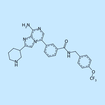 Nc1ncc(-c2cccc(C(=O)NCc3ccc(OC(F)(F)F)cc3)c2)n2cc(C3CCCNC3)nc12